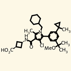 COC(C)(C)c1cc(-c2c(Cl)c(C(=O)N[C@H]3C[C@H](C(=O)O)C3)c(C)n2CC2CCCCC2)cc(C2(C)CC2)c1